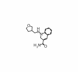 NC(=O)C1=Cc2ccccc2N(NCC2CCOC2)C1